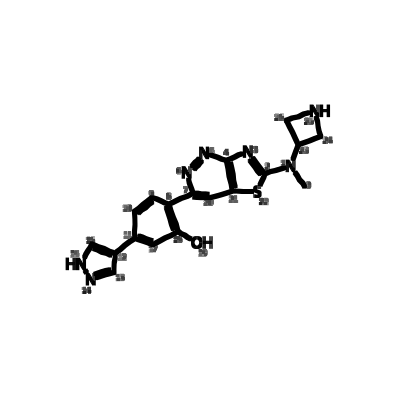 CN(c1nc2nnc(-c3ccc(-c4cn[nH]c4)cc3O)cc2s1)C1CNC1